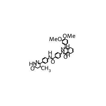 COc1ccc(C2=NN(c3ccc(C(=O)Nc4ccc(C5=NNC(=O)CC5C)cc4)cc3)C(=O)[C@@H]3CC=CC[C@H]23)cc1OC